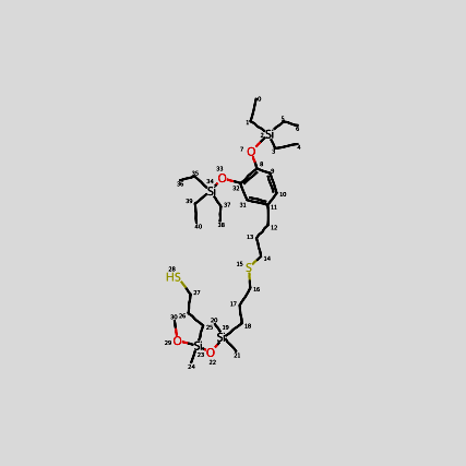 CC[Si](CC)(CC)Oc1ccc(CCCSCCC[Si](C)(C)O[Si](C)(CCCS)OC)cc1O[Si](CC)(CC)CC